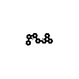 c1ccc(-c2cccc3c2sc2c(-c4cccc(-c5ccc6c7ccccc7c7ccccc7c6n5)c4)cccc23)cc1